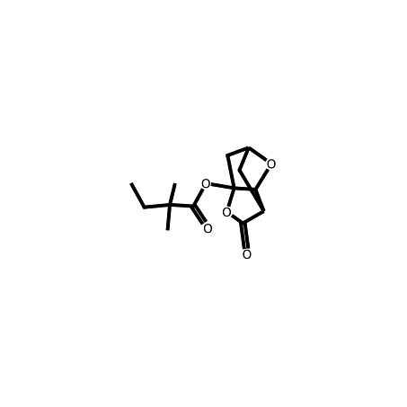 CCC(C)(C)C(=O)OC12CC3CC(C(=O)O1)C2O3